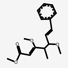 COC(=O)C=C(OC)C(C)C(C=Cc1ccccc1)OC